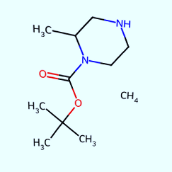 C.CC1CNCCN1C(=O)OC(C)(C)C